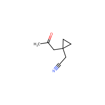 CC(=O)CC1(CC#N)CC1